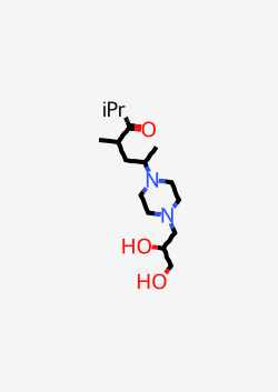 CC(C)C(=O)C(C)CC(C)N1CCN(CC(O)CO)CC1